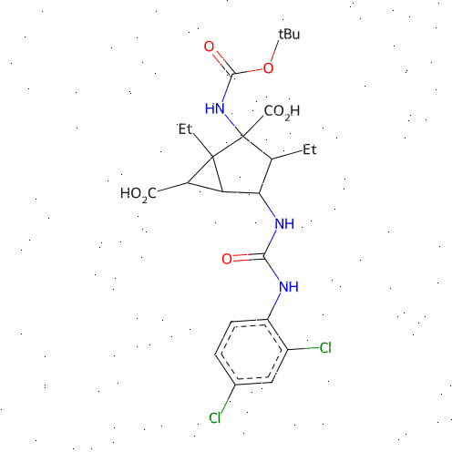 CCC1C(NC(=O)Nc2ccc(Cl)cc2Cl)C2C(C(=O)O)C2(CC)C1(NC(=O)OC(C)(C)C)C(=O)O